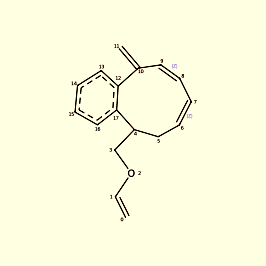 C=COCC1C/C=C\C=C/C(=C)c2ccccc21